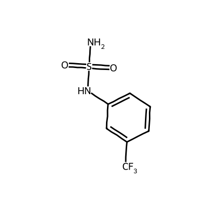 NS(=O)(=O)Nc1cccc(C(F)(F)F)c1